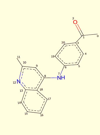 CC(=O)c1ccc(Nc2cc(C)nc3ccccc23)cc1